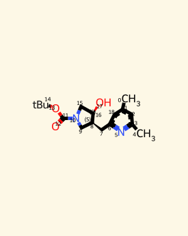 Cc1cc(C)nc(C[C@H]2CN(C(=O)OC(C)(C)C)C[C@H]2O)c1